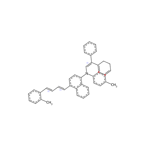 Cc1ccc(N(/C=C(\C2=CC=CCC2)c2ccccc2)c2ccc(/C=C/C=C/c3ccccc3C)c3ccccc23)cc1